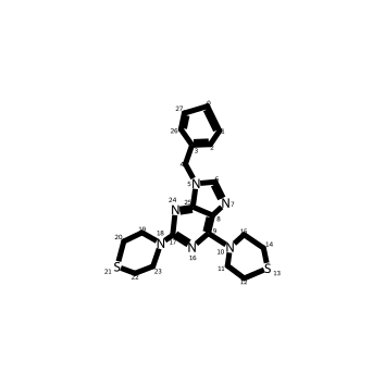 c1ccc(Cn2cnc3c(N4CCSCC4)nc(N4CCSCC4)nc32)cc1